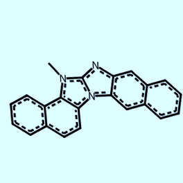 Cn1c2c3ccccc3ccc2n2c3cc4ccccc4cc3nc12